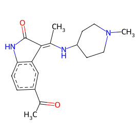 CC(=O)c1ccc2c(c1)C(=C(C)NC1CCN(C)CC1)C(=O)N2